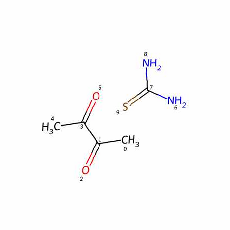 CC(=O)C(C)=O.NC(N)=S